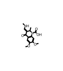 CNC=C1C(=O)c2cc(OC)c(OC)cc2N(C(=O)O)C1C